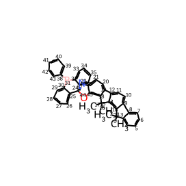 CC1(C)c2ccccc2-c2ccc3c(c21)C(C)(C)c1c-3ccc2nc(-c3ccccc3B(c3ccccc3)c3ccccc3)oc12